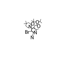 Cc1nc(C#N)c(Br)c(N2CCC(C)(C)CC2)c1C(OC(C)(C)C)C(=O)OC(C)C